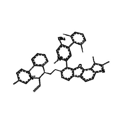 C=CC1C(CCc2ccc3c(oc4c3ccc3sc(C)c(C)c34)c2-c2cc(-c3c(C)cccc3C)c(C(C)(C)C)c[n+]2C)c2ccccc2-c2ccc(C)c[n+]21